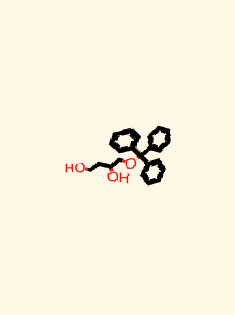 OCCC(O)COC(c1ccccc1)(c1ccccc1)c1ccccc1